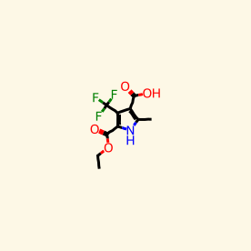 CCOC(=O)c1[nH]c(C)c(C(=O)O)c1C(F)(F)F